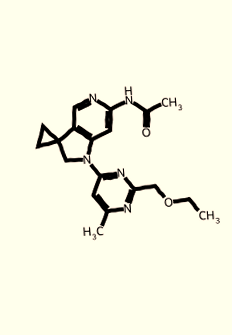 CCOCc1nc(C)cc(N2CC3(CC3)c3cnc(NC(C)=O)cc32)n1